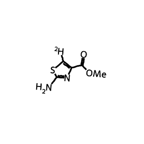 [2H]c1sc(N)nc1C(=O)OC